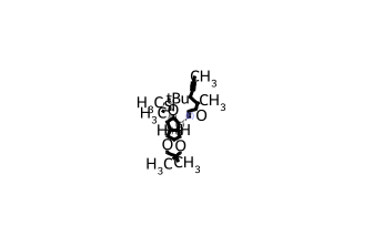 CC#CCC(C)C(=O)/C=C/[C@@H]1[C@H]2CC3(C[C@H]2C[C@H]1O[Si](C)(C)C(C)(C)C)OCC(C)(C)CO3